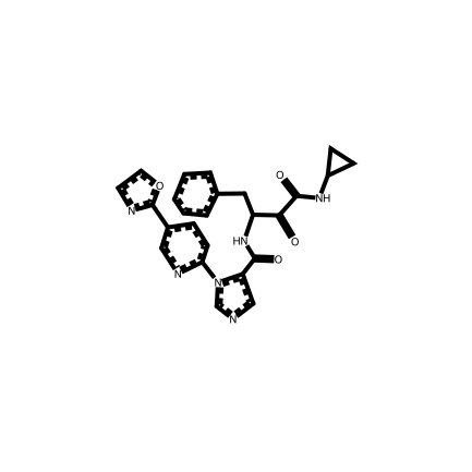 O=C(NC1CC1)C(=O)C(Cc1ccccc1)NC(=O)c1cncn1-c1ccc(-c2ncco2)cn1